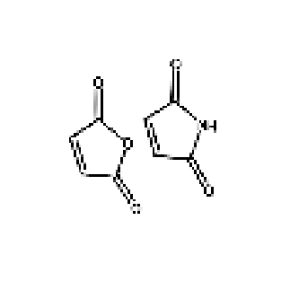 O=C1C=CC(=O)N1.O=C1C=CC(=O)O1